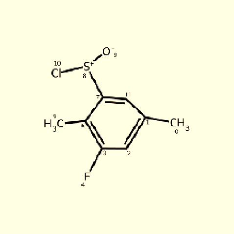 Cc1cc(F)c(C)c([S+]([O-])Cl)c1